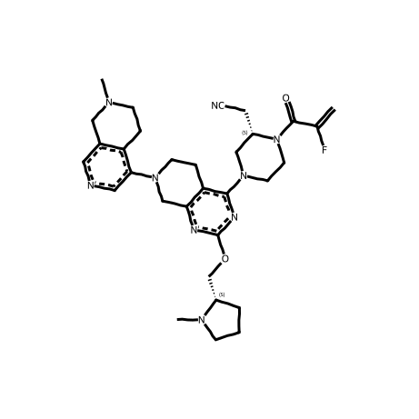 C=C(F)C(=O)N1CCN(c2nc(OC[C@@H]3CCCN3C)nc3c2CCN(c2cncc4c2CCN(C)C4)C3)C[C@@H]1CC#N